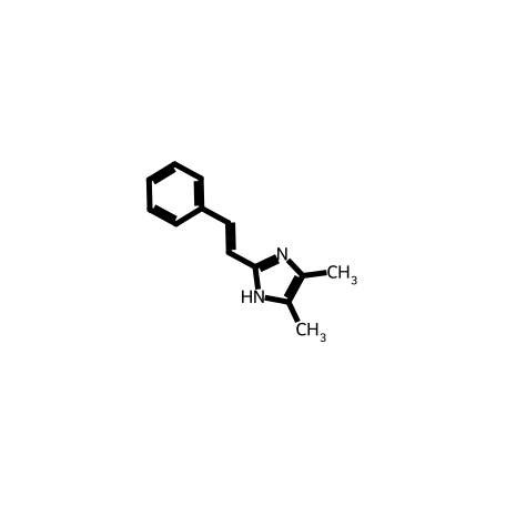 Cc1nc(/C=C/c2ccccc2)[nH]c1C